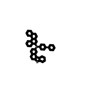 c1ccc(-c2ccc(N(c3ccc4ccc5sc6ccccc6c5c4c3)c3cc4ccc5ccccc5c4c4ccccc34)cc2)cc1